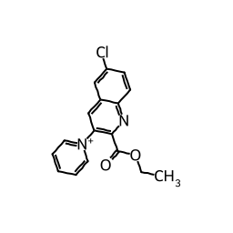 CCOC(=O)c1nc2ccc(Cl)cc2cc1-[n+]1ccccc1